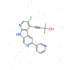 CC(C)(O)C#Cc1c(F)cnc2[nH]c3cnc(-c4cccnc4)cc3c12